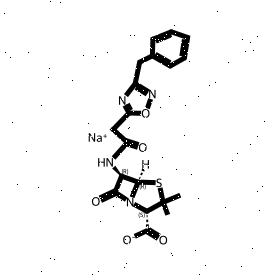 CC1(C)S[C@@H]2[C@H](NC(=O)Cc3nc(Cc4ccccc4)no3)C(=O)N2[C@H]1C(=O)[O-].[Na+]